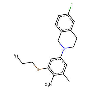 [2H]CCSc1cc(N2CCc3cc(F)ccc3C2)cc(C)c1[N+](=O)[O-]